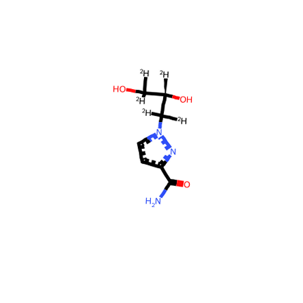 [2H]C([2H])(O)[C@]([2H])(O)C([2H])([2H])n1ccc(C(N)=O)n1